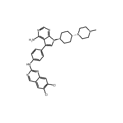 CN1CCN([C@H]2CC[C@H](n3cc(-c4ccc(Nc5ncc6cc(Cl)c(Cl)cc6n5)cc4)c4c(N)ncnc43)CC2)CC1